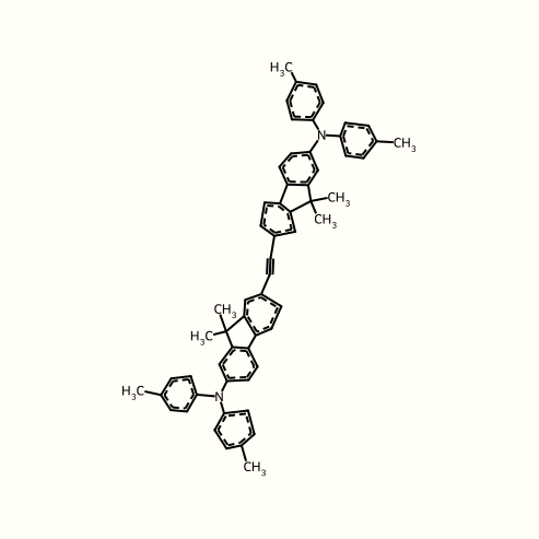 Cc1ccc(N(c2ccc(C)cc2)c2ccc3c(c2)C(C)(C)c2cc(C#Cc4ccc5c(c4)C(C)(C)c4cc(N(c6ccc(C)cc6)c6ccc(C)cc6)ccc4-5)ccc2-3)cc1